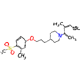 C=C(/C(C)=C\C(C)(C)C)N1CCC(CCCOc2ccc(S(C)(=O)=O)c(C)c2)CC1